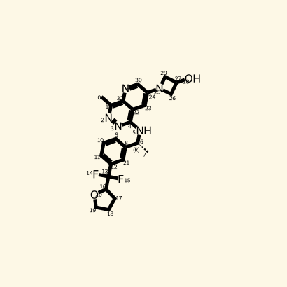 Cc1nnc(N[C@H](C)c2cccc(C(F)(F)C3CCCO3)c2)c2cc(N3CC(O)C3)cnc12